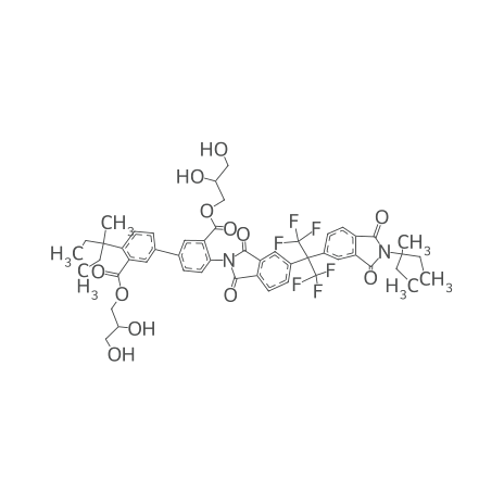 CCC(C)(CC)c1ccc(-c2ccc(N3C(=O)c4ccc(C(c5ccc6c(c5)C(=O)N(C(C)(CC)CC)C6=O)(C(F)(F)F)C(F)(F)F)cc4C3=O)c(C(=O)OCC(O)CO)c2)cc1C(=O)OCC(O)CO